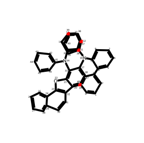 c1ccc(-c2ccccc2N(c2ccccc2)c2ccc3c(oc4c5ccccc5ccc34)c2N(c2ccccc2)c2ccccc2)cc1